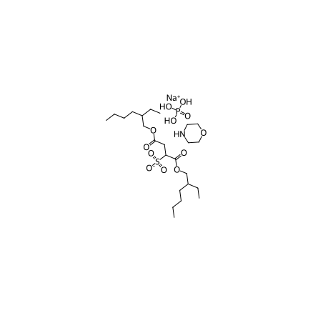 C1COCCN1.CCCCC(CC)COC(=O)CC(C(=O)OCC(CC)CCCC)S(=O)(=O)[O-].O=P(O)(O)O.[Na+]